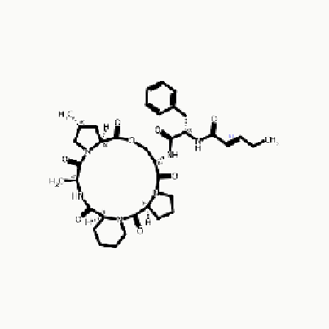 CC/C=C/C(=O)N[C@@H](Cc1ccccc1)C(=O)N[C@H]1COC(=O)[C@@H]2C[C@@H](C)CN2C(=O)[C@H](C)NC(=O)[C@@H]2CCCCN2C(=O)[C@@H]2CCCN2C1=O